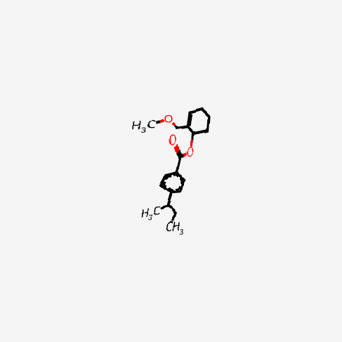 CCC(C)c1ccc(C(=O)OC2CCCC=C2COC)cc1